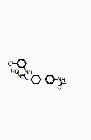 CC(=O)Nc1ccc([C@H]2CC[C@@H](C/C(=N/O)Nc3cccc(Cl)c3)CC2)cc1